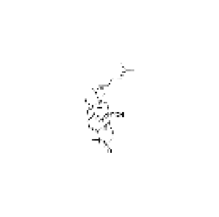 CC(C)=CCC[C@@H](C)[C@H]1CC[C@@]2(C)[C@@H]3CC=C4[C@@H](CC[C@H](O)C4(C)C)[C@]3(C)[C@H](O)C[C@]12C